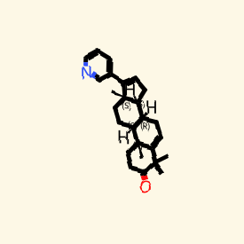 CC1(C)C(=O)CC[C@@]2(C)C1=CC[C@@H]1[C@@H]2CC[C@]2(C)C(c3cccnc3)=CC[C@@H]12